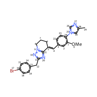 COc1cc(C=C2CCCn3nc(Cc4ccc(Br)cc4)nc32)ccc1-n1cnc(C)c1